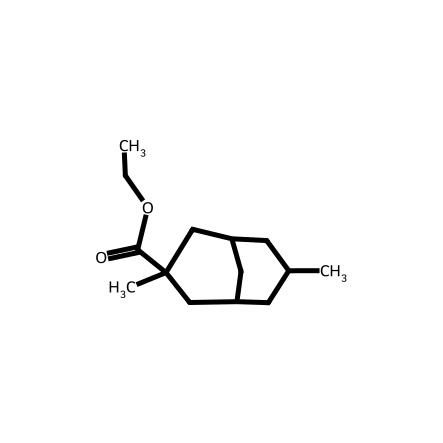 CCOC(=O)C1(C)CC2CC(C)CC(C2)C1